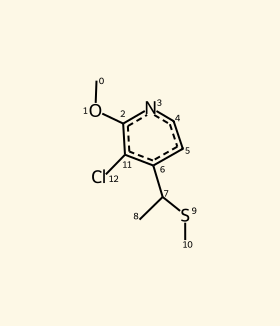 COc1nccc(C(C)SC)c1Cl